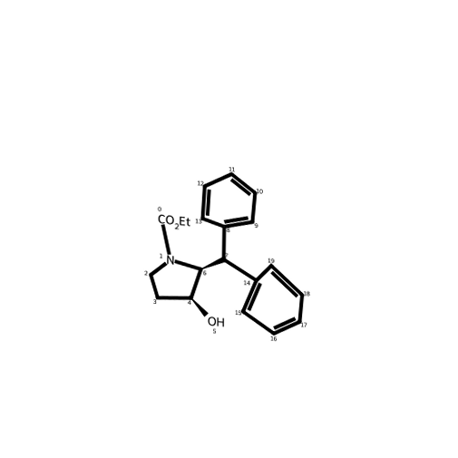 CCOC(=O)N1CC[C@H](O)[C@@H]1C(c1ccccc1)c1ccccc1